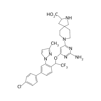 Cc1ccn(-c2cc(-c3ccc(Cl)cc3)ccc2C(Oc2cc(N3CCC4(CC3)CNC(C(=O)O)C4)nc(N)n2)C(F)(F)F)n1